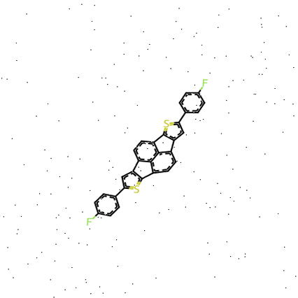 Fc1ccc(-c2cc3c(s2)-c2ccc4c5c(ccc-3c25)-c2sc(-c3ccc(F)cc3)cc2-4)cc1